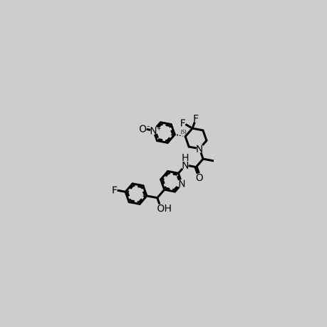 CC(C(=O)Nc1ccc(C(O)c2ccc(F)cc2)cn1)N1CCC(F)(F)[C@@H](c2cc[n+]([O-])cc2)C1